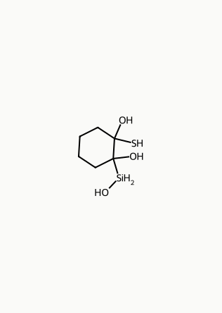 O[SiH2]C1(O)CCCCC1(O)S